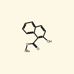 CCCCOC(=O)c1c(O)ccc2ccccc12